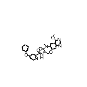 COc1ncnc2cc3c(cc12)N(C)C(=O)[C@@H](NC(=O)c1cc(Oc2ccccc2)ccn1)CO3